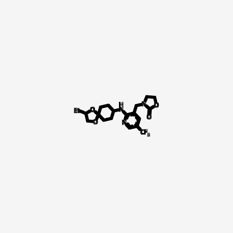 CCC1COC2(CCC(Nc3ncc(C(F)(F)F)cc3CN3CCOC3=O)CC2)O1